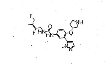 CC(CF)=C(F)CNC(=O)Nc1ccc(O[C@H]2CCNC2)c(-c2ccnn2C)c1